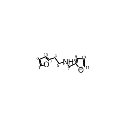 c1coc(CCNCc2ccco2)c1